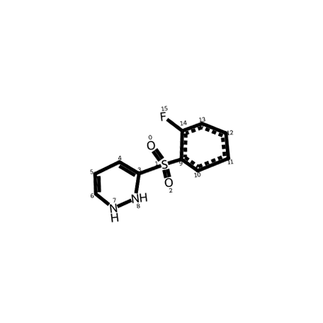 O=S(=O)(C1=CC=CNN1)c1ccccc1F